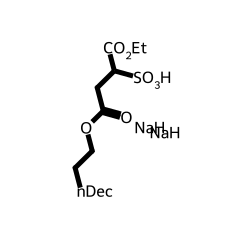 CCCCCCCCCCCCOC(=O)CC(C(=O)OCC)S(=O)(=O)O.[NaH].[NaH]